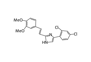 COc1ccc(C=Cc2nc(-c3ccc(Cl)cc3Cl)c[nH]2)cc1OC